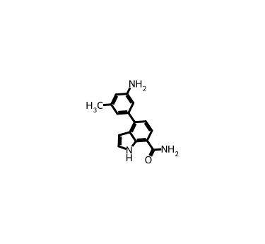 Cc1cc(N)cc(-c2ccc(C(N)=O)c3[nH]ccc23)c1